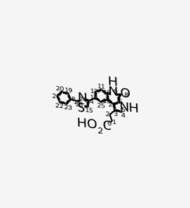 O=C(O)CCc1c[nH]c2c(=O)[nH]c3ccc(-c4csc(-c5ccccc5)n4)cc3c12